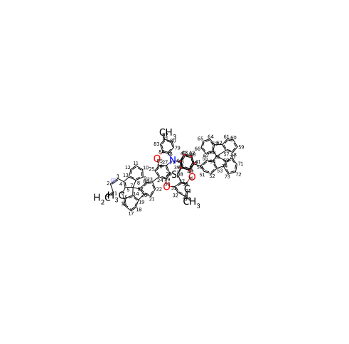 C=C/C=C\C1=C(C)C2(c3ccccc31)c1ccccc1-c1ccc(-c3cc4c5c6c3Oc3cc(C)cc7c3[Si]6(c3ccccc3)c3c(ccc(-c6ccc8c(c6)C6(c9ccccc9-c9ccccc96)c6ccccc6-8)c3O7)N5c3ccc(C)cc3O4)cc12